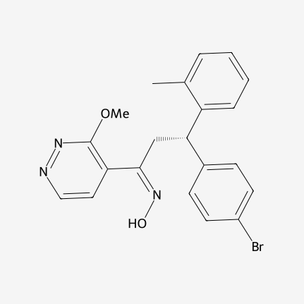 COc1nnccc1C(C[C@@H](c1ccc(Br)cc1)c1ccccc1C)=NO